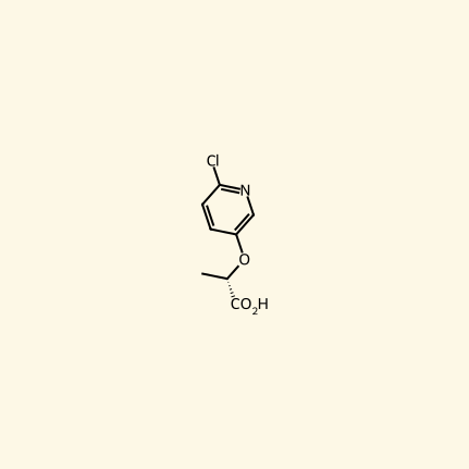 C[C@H](Oc1ccc(Cl)nc1)C(=O)O